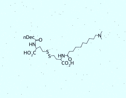 CCCCCCCCCCC(=O)NC(CCSSCCC(NC(=O)CCCCCCCCCN(C)C)C(=O)O)C(=O)O